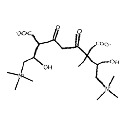 CC(C(=O)[O-])(C(=O)CC(=O)C(C(=O)[O-])C(O)C[N+](C)(C)C)C(O)C[N+](C)(C)C